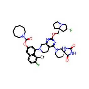 CCc1c(F)ccc2cc(OC(=O)N3CCCCCCC3)cc(N3CCc4c(nc(OC[C@@]56CCCN5C[C@H](F)C6)nc4N4CCC[C@]5(C4)NC(=O)NC5=O)C3)c12